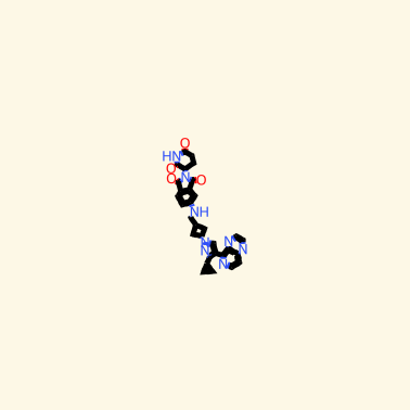 O=C1CCC(N2C(=O)c3ccc(NCC4CC(n5cc(-c6nccc7nccnc67)c(C6CC6)n5)C4)cc3C2=O)C(=O)N1